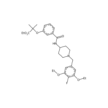 CCOC(=O)C(C)(C)Oc1cccc(C(=O)NC2CCN(Cc3cc(OCC)c(F)c(OCC)c3)CC2)c1